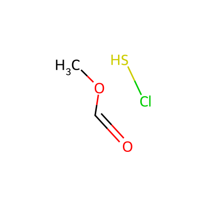 COC=O.SCl